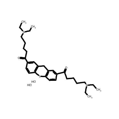 CCN(CC)CCCCC(=O)c1ccc2c(c1)Cc1cc(C(=O)CCCCN(CC)CC)ccc1S2.Cl.Cl